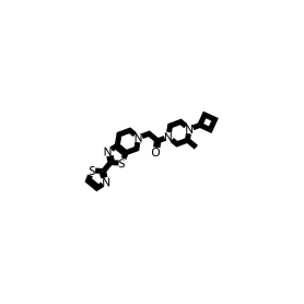 CC1CN(C(=O)CN2CCc3nc(-c4nccs4)sc3C2)CCN1C1CCC1